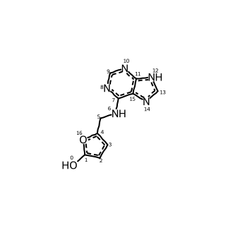 Oc1ccc(CNc2ncnc3[nH]cnc23)o1